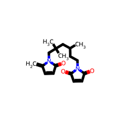 C=C1C=CC(=O)N1CC(C)(C)CC(C)CCN1C(=O)C=CC1=O